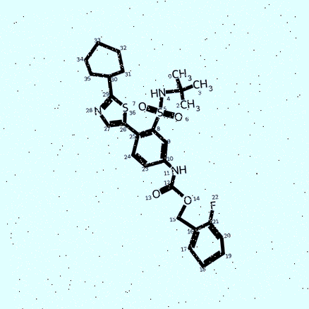 CC(C)(C)NS(=O)(=O)c1cc(NC(=O)OCc2ccccc2F)ccc1-c1cnc(C2CCCCC2)s1